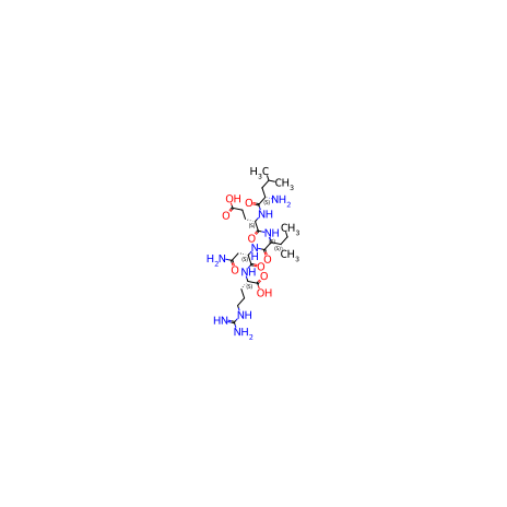 CC[C@H](C)[C@H](NC(=O)[C@H](CCC(=O)O)NC(=O)[C@@H](N)CC(C)C)C(=O)N[C@@H](CC(N)=O)C(=O)N[C@@H](CCCNC(=N)N)C(=O)O